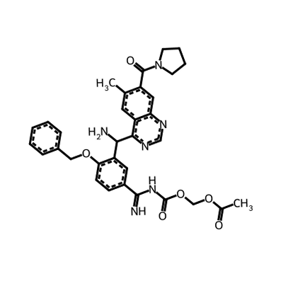 CC(=O)OCOC(=O)NC(=N)c1ccc(OCc2ccccc2)c(C(N)c2ncnc3cc(C(=O)N4CCCC4)c(C)cc23)c1